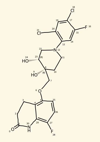 O=C1CCc2c(OC[C@]3(O)CCN(c4cc(F)c(Cl)cc4Cl)C[C@H]3O)ccc(F)c2N1